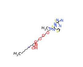 CCCCCC/C=C/CC(CC(=O)OCCOCCOCCOCCN(CC)c1nc(-c2cccs2)c(/N=N/c2snc(C#N)c2C#N)s1)C(=O)O